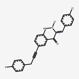 O=C1/C(=C/c2ccc(Cl)cc2)[S+]([O-])Nc2ccc(C#CCc3ccc(F)cc3)cc21